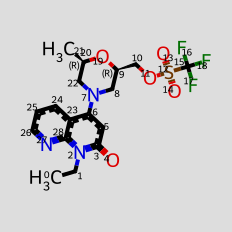 CCn1c(=O)cc(N2C[C@H](COS(=O)(=O)C(F)(F)F)O[C@H](C)C2)c2cccnc21